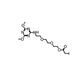 COc1nc(NCCOCCOCCOC(=O)CI)nc(OC)n1